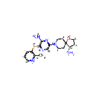 Nc1nc(N2CCC3(CC2)OCC[C@@H]3N)cnc1Sc1cccnc1C(F)(F)F